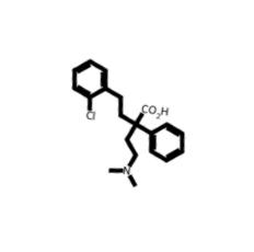 CN(C)CCC(CCc1ccccc1Cl)(C(=O)O)c1ccccc1